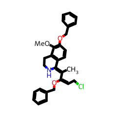 COc1c(OCc2ccccc2)ccc2c1CCN/C2=C(C)\C(=C/CCl)OCc1ccccc1